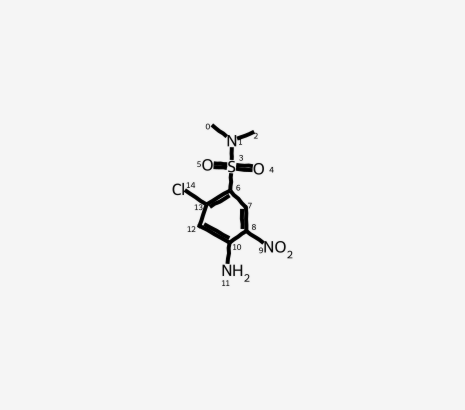 CN(C)S(=O)(=O)c1cc([N+](=O)[O-])c(N)cc1Cl